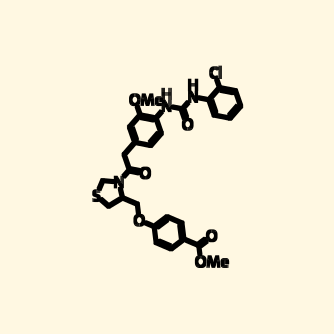 COC(=O)c1ccc(OCC2CSCN2C(=O)Cc2ccc(NC(=O)Nc3ccccc3Cl)c(OC)c2)cc1